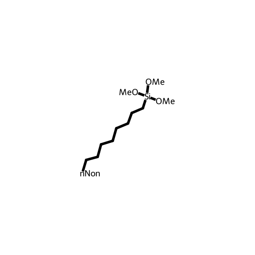 CCCCCCCCCCCCCCCCC[Si](OC)(OC)OC